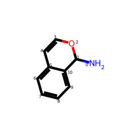 NC1OC=Cc2ccccc21